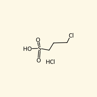 Cl.O=S(=O)(O)CCCCl